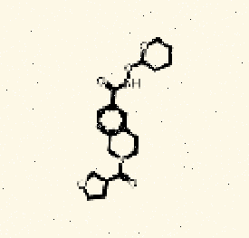 O=C(NOC1CCCCO1)c1ccc2c(c1)CCN(C(=O)C1CCOC1)C2